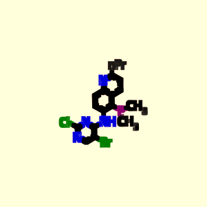 CCCc1ccc2c(P(C)C)c(Nc3nc(Cl)ncc3Br)ccc2n1